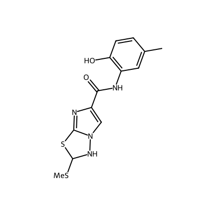 CSC1Nn2cc(C(=O)Nc3cc(C)ccc3O)nc2S1